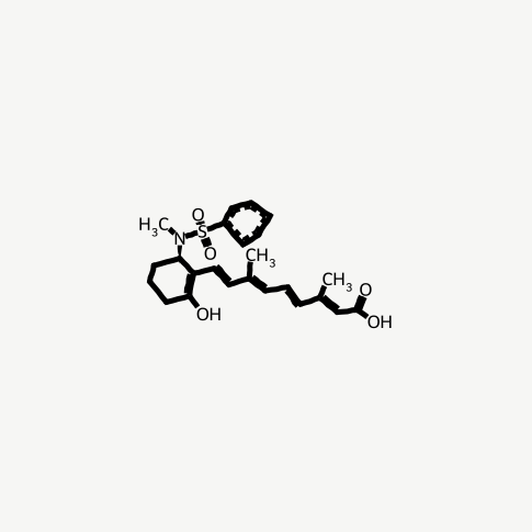 CC(/C=C/C1=C(O)CCC[C@H]1N(C)S(=O)(=O)c1ccccc1)=C\C=C\C(C)=C\C(=O)O